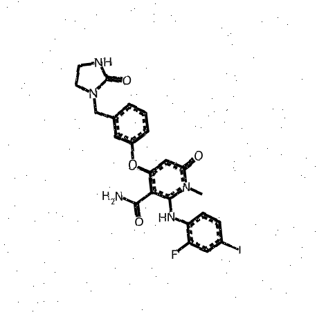 Cn1c(Nc2ccc(I)cc2F)c(C(N)=O)c(Oc2cccc(CN3CCNC3=O)c2)cc1=O